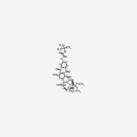 CC[Si](CC)(CC)O[C@H](C)[C@@]12O[C@]13c1cc(O)c4c(c1N[C@H]2C#C/C=C\C#C[C@H]3O)C(=O)c1ccc(CNC(=O)OC(C)(C)C)cc1C4=O